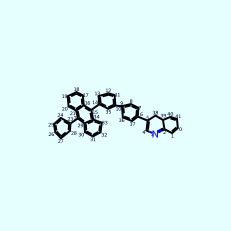 C1=CC2=NC=C(c3ccc(-c4cccc(-c5c6ccccc6c(-c6ccccc6)c6ccccc56)c4)cc3)CC2C=C1